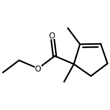 CCOC(=O)C1(C)CCC=C1C